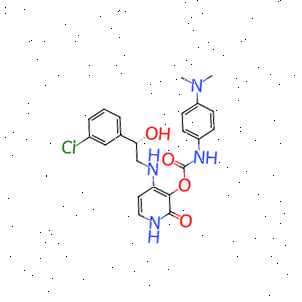 CN(C)c1ccc(NC(=O)Oc2c(NC[C@@H](O)c3cccc(Cl)c3)cc[nH]c2=O)cc1